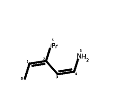 C/C=C(\C=C/N)C(C)C